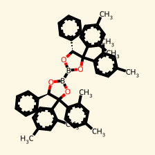 Cc1ccc(C2(c3ccc(C)cc3C)OB(B3O[C@H](c4ccccc4)C(c4ccc(C)cc4C)(c4ccc(C)cc4C)O3)O[C@@H]2c2ccccc2)c(C)c1